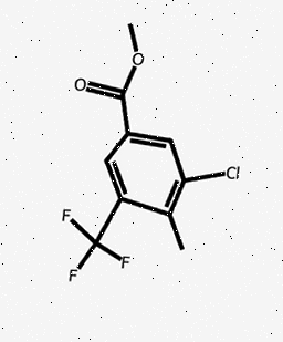 COC(=O)c1cc(Cl)c(C)c(C(F)(F)F)c1